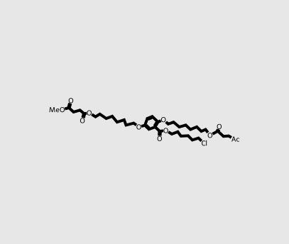 COC(=O)CCC(=O)OCCCCCCCCOc1ccc(OCCCCCCCCOC(=O)CCC(C)=O)c(C(=O)OCCCCCCCl)c1